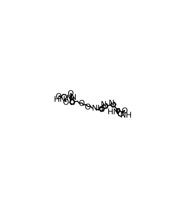 Cn1c(=O)n(C2CCC(=O)NC2=O)c2cccc(CCOCCOCCNCc3ccc4cc(-c5cc(-c6cc7c([nH]6)CCNC7=O)ccn5)cnc4c3)c21